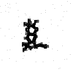 FC1Oc2cc(N=C=S)c(C(F)(F)F)cc2OC1(F)F